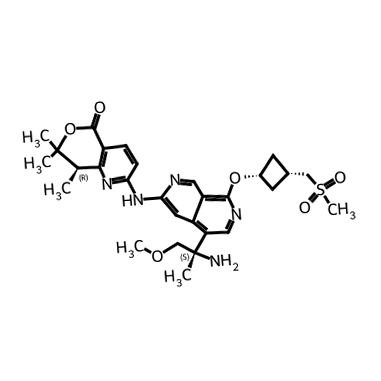 COC[C@@](C)(N)c1cnc(O[C@H]2C[C@@H](CS(C)(=O)=O)C2)c2cnc(Nc3ccc4c(n3)[C@@H](C)C(C)(C)OC4=O)cc12